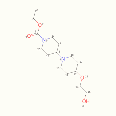 CCOC(=O)N1CCC(N2CCC(OCCO)CC2)CC1